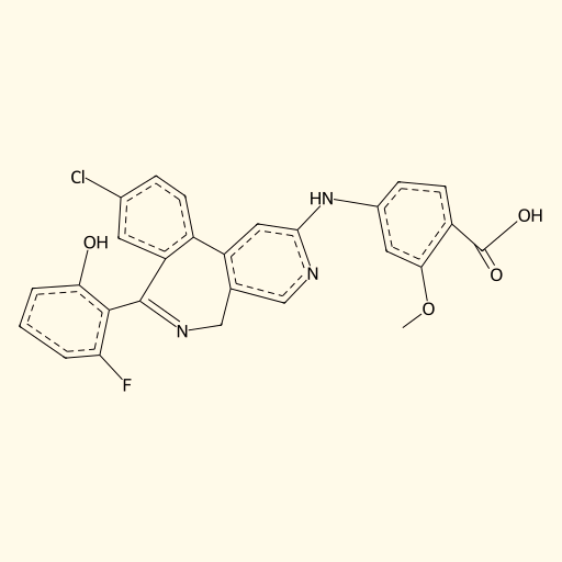 COc1cc(Nc2cc3c(cn2)CN=C(c2c(O)cccc2F)c2cc(Cl)ccc2-3)ccc1C(=O)O